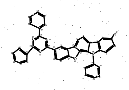 Brc1ccc2c(c1)c1ccc3c4cc(-c5nc(-c6ccccc6)nc(-c6ccccc6)n5)ccc4oc3c1n2-c1ccccc1